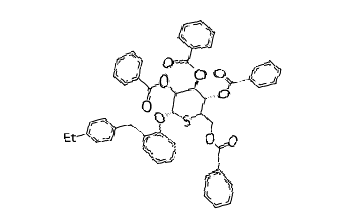 CCc1ccc(Cc2ccccc2O[C@H]2SC(COC(=O)c3ccccc3)[C@@H](OC(=O)c3ccccc3)[C@H](OC(=O)c3ccccc3)C2OC(=O)c2ccccc2)cc1